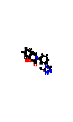 Cc1nncn1[C@@H]1CCC[C@H](N(Cc2ccccc2)C(=O)O)C1